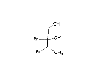 CC(Br)C(O)(Br)CO